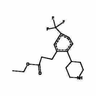 CCOC(=O)CCc1cc(C(F)(F)F)ccc1C1CCNCC1